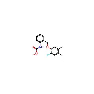 CCc1cc(F)c(OCc2ccccc2NC(=O)OC)cc1C